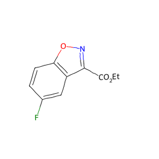 CCOC(=O)c1noc2ccc(F)cc12